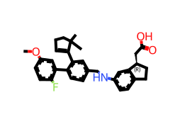 COc1ccc(F)c(-c2ccc(CNc3ccc4c(c3)[C@@H](CC(=O)O)CC4)cc2C2=CCCC2(C)C)c1